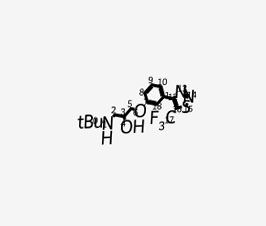 CC(C)(C)NCC(O)COc1cccc(-c2nnsc2C(F)(F)F)c1